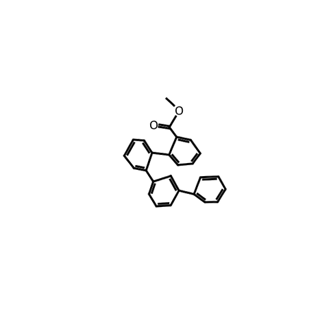 COC(=O)c1ccccc1-c1ccccc1-c1cccc(-c2ccccc2)c1